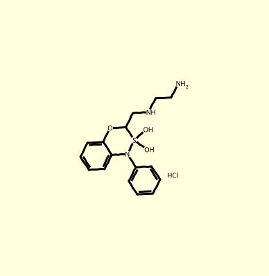 Cl.NCCNCC1Oc2ccccc2N(c2ccccc2)S1(O)O